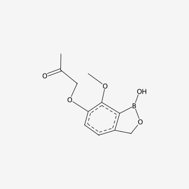 COc1c(OCC(C)=O)ccc2c1B(O)OC2